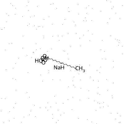 CCCCCCCCC=CCCCCCCCC(=O)OP(=O)(O)O.[NaH]